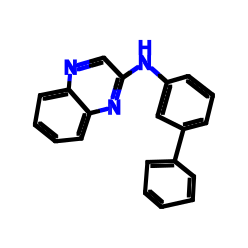 c1ccc(-c2cccc(Nc3cnc4ccccc4n3)c2)cc1